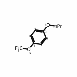 CCCOc1[c]cc(OC(F)(F)F)cc1